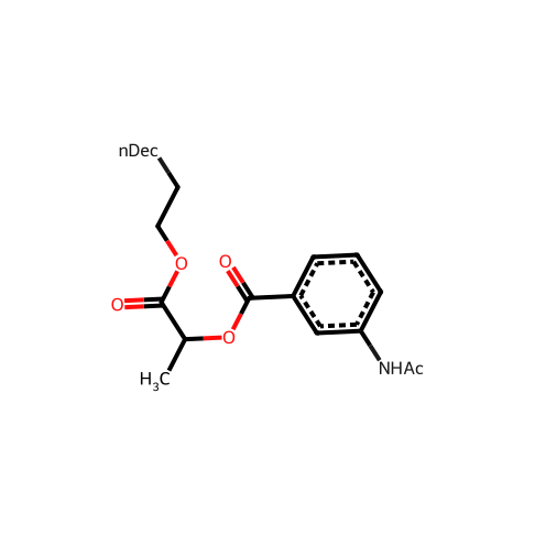 CCCCCCCCCCCCOC(=O)C(C)OC(=O)c1cccc(NC(C)=O)c1